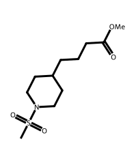 COC(=O)CCCC1CCN(S(C)(=O)=O)CC1